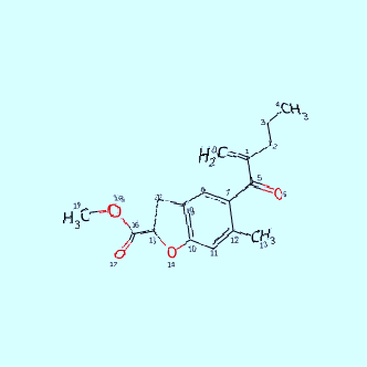 C=C(CCC)C(=O)c1cc2c(cc1C)OC(C(=O)OC)C2